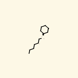 CCCCCCN=C1CCCCC1